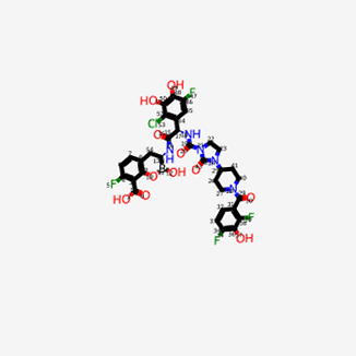 O=C(O)c1c(F)ccc2c1OB(O)[C@@H](NC(=O)[C@@H](NC(=O)N1CCN(C3CCN(C(=O)c4ccc(F)c(O)c4F)CC3)C1=O)c1cc(F)c(O)c(O)c1Cl)C2